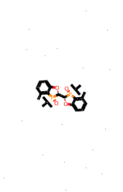 Cc1cccc2c1[P@](=O)(C(C)(C)C)[C@@H]([C@H]1Oc3cccc(C)c3[P@]1(=O)C(C)(C)C)O2